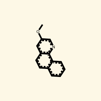 COc1cnc2c(ccc3ccccc32)c1